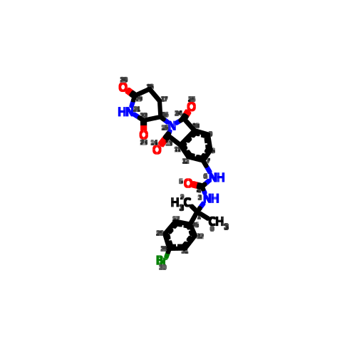 CC(C)(NC(=O)Nc1ccc2c(c1)C(=O)N(C1CCC(=O)NC1=O)C2=O)c1ccc(Br)cc1